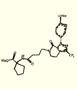 COC(=O)C1(NC(=O)CCCN2CCc3c(C(F)(F)F)nn(-c4ccc(OC)cc4)c3C2=O)CCCC1